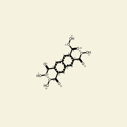 O=C(OO)c1cc2cc(C(=O)OO)c(C(=O)OO)cc2cc1C(=O)OO